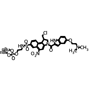 CCCCOP(=O)(OCCCC)OCCNS(=O)(=O)c1ccc2c3c(cc([N+](=O)[O-])c2c1)N(C(=O)c1cc2cc(OCCN(C)C)ccc2[nH]1)CC3CCl